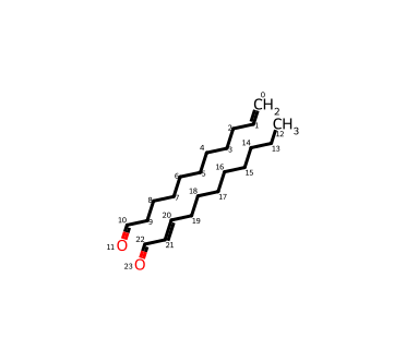 C=CCCCCCCCCC=O.CCCCCCCCC=CC=O